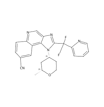 C[C@@H]1C[C@H](n2c(C(F)(F)c3ccccn3)nc3cnc4ccc(C#N)cc4c32)CCO1